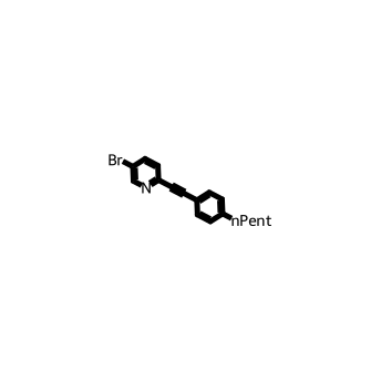 CCCCCc1ccc(C#Cc2ccc(Br)cn2)cc1